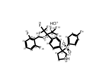 Cl.O=S(=O)(c1ccc(F)cc1)C1(c2ccc(C(OCc3c(F)cccc3F)(C(F)(F)F)C(F)(F)F)cc2)CCNC1